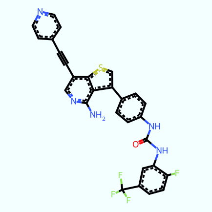 Nc1ncc(C#Cc2ccncc2)c2scc(-c3ccc(NC(=O)Nc4cc(C(F)(F)F)ccc4F)cc3)c12